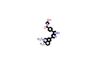 CN1Cc2cc(-c3cnc4[nH]cc(C5=CCC(C(=O)N6CC(O)C6)C=C5)c4c3)cc3c2C(C)(CCC3)C1